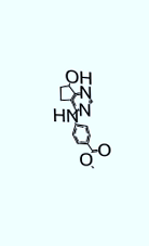 COC(=O)c1ccc(Nc2ncnc3c2CCC3O)cc1